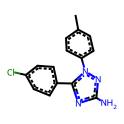 Cc1ccc(-n2nc(N)nc2-c2ccc(Cl)cc2)cc1